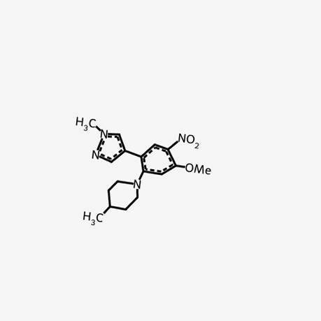 COc1cc(N2CCC(C)CC2)c(-c2cnn(C)c2)cc1[N+](=O)[O-]